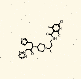 Cc1cc(Cl)nc(Cl)c1C(=O)NCC[C@@H](C)N1CCC(N(Cc2ccsc2)C(=O)Cn2ncnn2)CC1